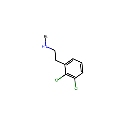 CCNCCc1cccc(Cl)c1Cl